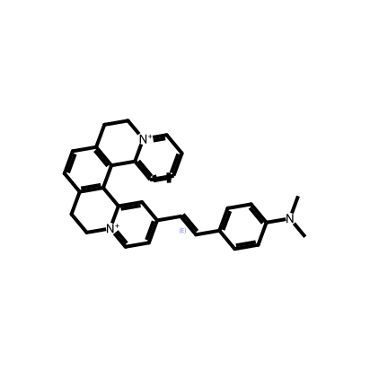 CN(C)c1ccc(/C=C/c2cc[n+]3c(c2)-c2c(ccc4c2-c2c5ccc#cc5cc[n+]2CC4)CC3)cc1